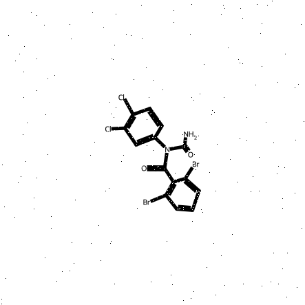 NC(=O)N(C(=O)c1c(Br)cccc1Br)c1ccc(Cl)c(Cl)c1